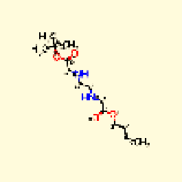 CCCCOC(=O)CNCCNCC(=O)OC(C)(C)C